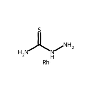 NNC(N)=S.[Rh]